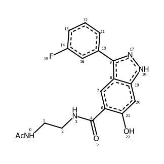 CC(=O)NCCNC(=O)c1cc2c(-c3cccc(F)c3)n[nH]c2cc1O